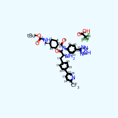 CC(C)(C)OC(=O)NC[C@H]1CC[C@H](C(=O)N(C(=O)[C@@H](N)Cc2ccc(-c3ccc(C(F)(F)F)nc3)cc2)c2ccc(-c3nn[nH]n3)cc2)CC1.O=C(O)C(F)(F)F